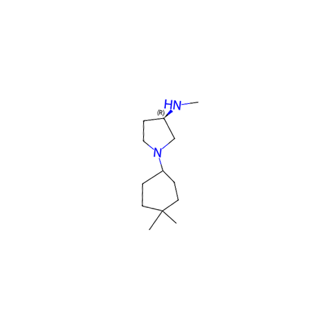 CN[C@@H]1CCN(C2CCC(C)(C)CC2)C1